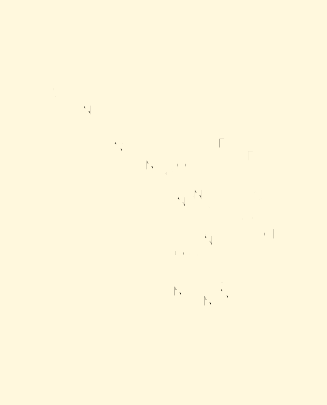 O=C(Nc1cn(CC(=O)N2CCN(CCN3CCSCC3)CC2)nc1-c1cc(Cl)ccc1OC(F)F)c1cnn2cccnc12